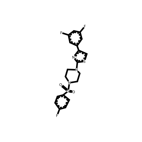 O=S(=O)(c1ccc(F)cc1)N1CCN(c2nc(-c3cc(F)cc(F)c3)cs2)CC1